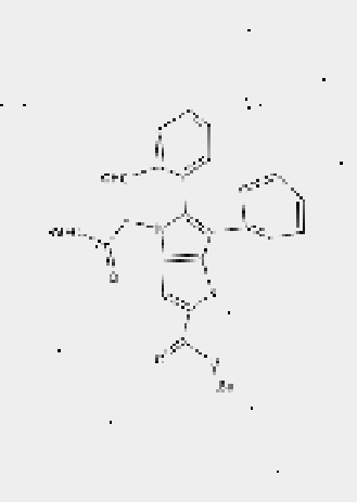 COC(=O)Cn1c(-c2ccccc2C=O)c(-c2ccccc2)c2sc(C(=O)OC(C)(C)C)cc21